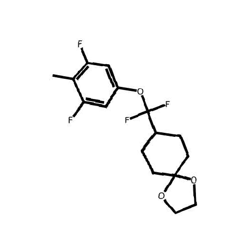 Cc1c(F)cc(OC(F)(F)C2CCC3(CC2)OCCO3)cc1F